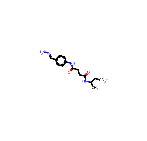 CC(CC(=O)O)NC(=O)CCC(=O)Nc1ccc(C=NN)cc1